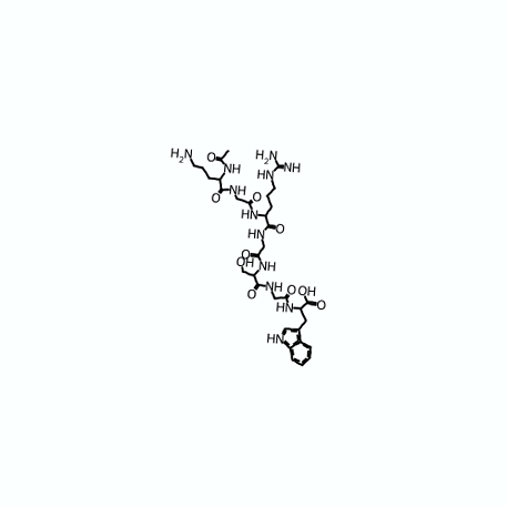 CC(=O)NC(CCCN)C(=O)NCC(=O)NC(CCCNC(=N)N)C(=O)NCC(=O)NC(CO)C(=O)NCC(=O)NC(Cc1c[nH]c2ccccc12)C(=O)O